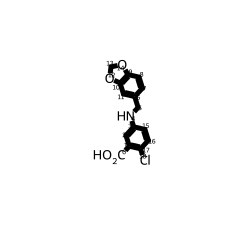 O=C(O)c1cc(NCc2ccc3c(c2)OCO3)ccc1Cl